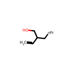 C=CC(CO)CCCC